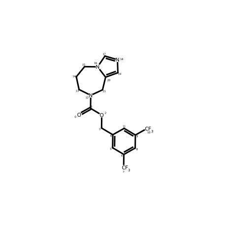 O=C(OCc1cc(C(F)(F)F)cc(C(F)(F)F)c1)N1CCCn2cncc2C1